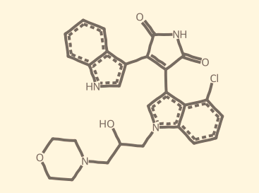 O=C1NC(=O)C(c2cn(CC(O)CN3CCOCC3)c3cccc(Cl)c23)=C1c1c[nH]c2ccccc12